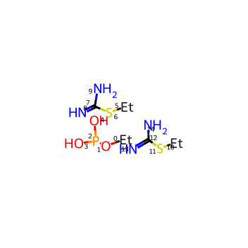 CCOP(O)O.CCSC(=N)N.CCSC(=N)N